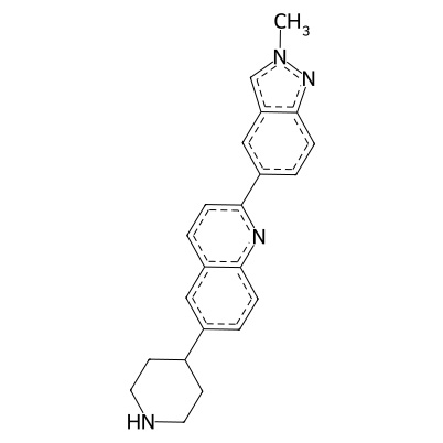 Cn1cc2cc(-c3ccc4cc(C5CCNCC5)ccc4n3)ccc2n1